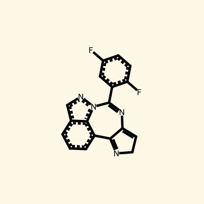 Fc1ccc(F)c(C2=NC3=CCN=C3c3cccc4cnn2c34)c1